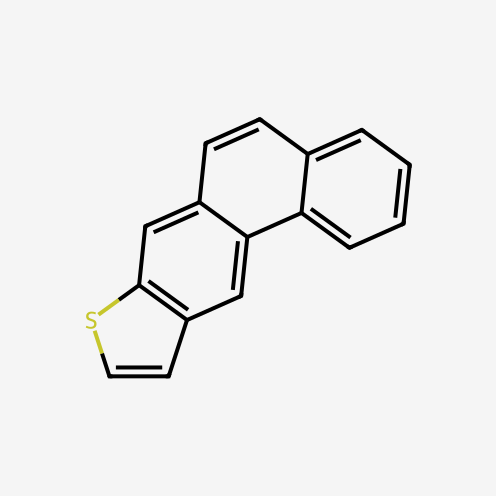 c1ccc2c(c1)ccc1cc3sccc3cc12